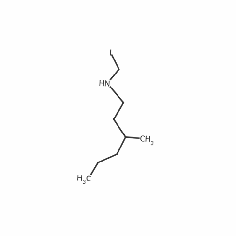 CCCC(C)CCNCI